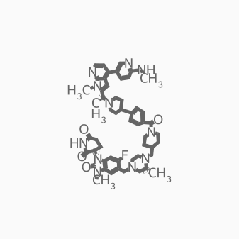 CNc1ccc(-c2ccnc3c2cc([C@H](C)N2CCC(c4ccc(C(=O)N5CCC(CN6CCN(Cc7cc8c(cc7F)n([C@@H]7CCC(=O)NC7=O)c(=O)n8C)C[C@@H]6C)CC5)cc4)CC2)n3C)cn1